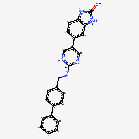 O=c1[nH]c2ccc(-c3cnc(NCc4ccc(-c5ccccc5)cc4)nc3)cc2[nH]1